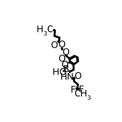 CCCCC(=O)OCOC(=O)c1cccc2c1OB(O)[C@@H](NC(=O)CCC(C)(F)F)C2